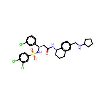 O=C(C[C@@H](NS(=O)(=O)c1ccc(Cl)c(Cl)c1)c1cccc(Cl)c1)N[C@@H]1CCCc2cc(CNC3CCCC3)ccc21